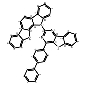 c1ccc(-c2ccc(-c3nc(-n4c5ccccc5c5ccc6c7ccccc7sc6c54)nc4c3sc3ccccc34)cc2)cc1